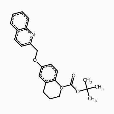 CC(C)(C)OC(=O)N1CCCc2cc(OCc3ccc4ccccc4n3)ccc21